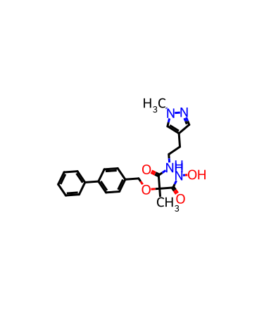 Cn1cc(CCNC(=O)C(C)(OCc2ccc(-c3ccccc3)cc2)C(=O)NO)cn1